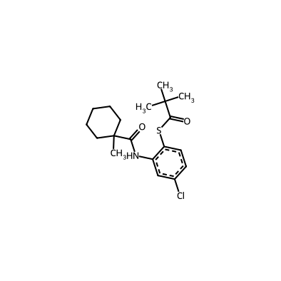 CC(C)(C)C(=O)Sc1ccc(Cl)cc1NC(=O)C1(C)CCCCC1